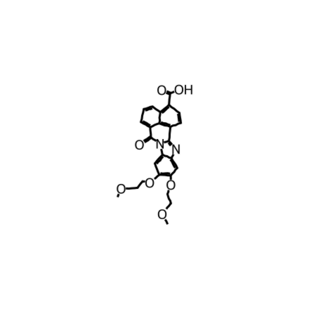 COCCOc1cc2nc3c4ccc(C(=O)O)c5cccc(c(=O)n3c2cc1OCCOC)c54